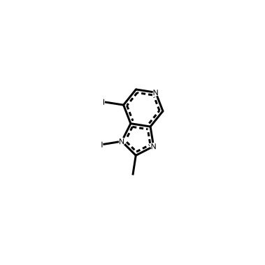 Cc1nc2cncc(I)c2n1I